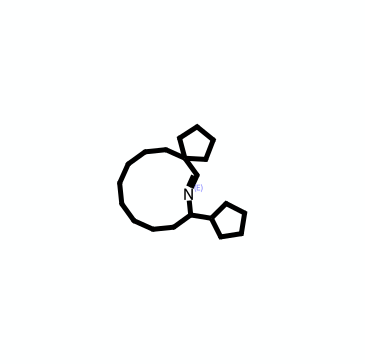 C1=N/C(C2CCCC2)CCCCCCCCC/12CCCC2